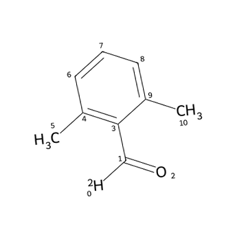 [2H]C(=O)c1c(C)cccc1C